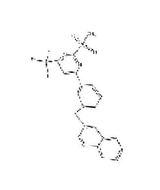 CS(=O)(=O)c1nc(C2=CN(Cc3ccc4ccccc4c3)CC=C2)cc(C(F)(F)F)n1